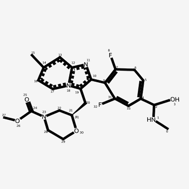 CNC(O)C1=CCC(F)=C(c2nc3cc(C)ccn3c2C[C@@H]2CN(C(=O)OC)CCO2)C(F)=C1